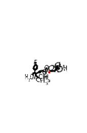 Cc1cc(-c2ccc(F)cc2)c(C#CCO[PH](=O)C[C@@H](O)CC(=O)O)c(C(C)C)n1